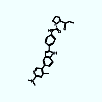 CCC(=O)N1CCC[C@H]1C(=O)Nc1ccc(-c2cc3cc(-c4cnc(N(C)C)cc4C)ccc3[nH]2)cc1